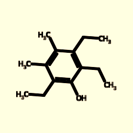 CCc1c(C)c(C)c(CC)c(CC)c1O